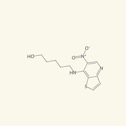 O=[N+]([O-])c1cnc2ccsc2c1NCCCCCO